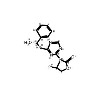 CC(C)C1COC(=O)N1c1ncnc(N[C@H](C)c2ccccc2)n1